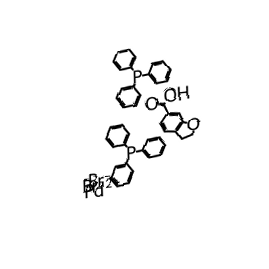 O=C(O)c1ccc2c(c1)OCC2.[Br-].[Br-].[Pd+2].c1ccc(P(c2ccccc2)c2ccccc2)cc1.c1ccc(P(c2ccccc2)c2ccccc2)cc1